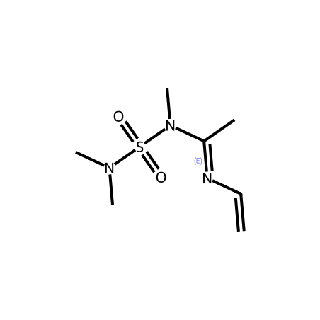 C=C/N=C(\C)N(C)S(=O)(=O)N(C)C